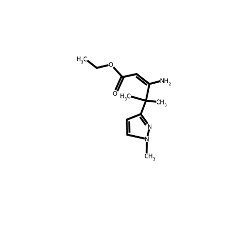 CCOC(=O)/C=C(/N)C(C)(C)c1ccn(C)n1